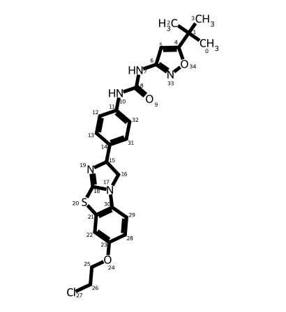 CC(C)(C)c1cc(NC(=O)Nc2ccc(C3CN4C(=N3)Sc3cc(OCCCl)ccc34)cc2)no1